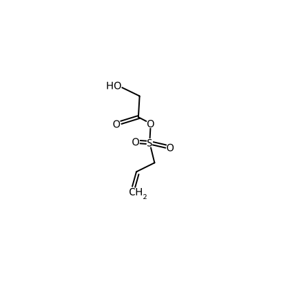 C=CCS(=O)(=O)OC(=O)CO